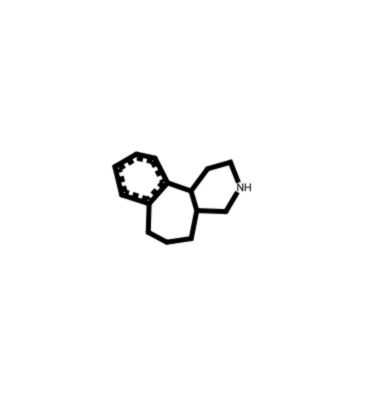 c1ccc2c(c1)CCCC1CNCCC21